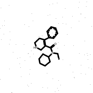 CCN(C(=O)C1=C(c2ccccc2)CCNC1)C1CCCCC1